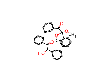 COC(OC)(C(=O)c1ccccc1)c1ccccc1.O=C(c1ccccc1)C(O)c1ccccc1